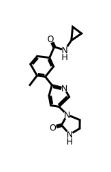 Cc1ccc(C(=O)NC2CC2)cc1-c1ccc(N2CCNC2=O)cn1